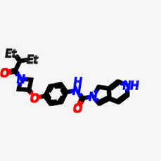 CCC(CC)C(=O)N1CC(Oc2ccc(NC(=O)N3C=C4C=CNC=C4C3)cc2)C1